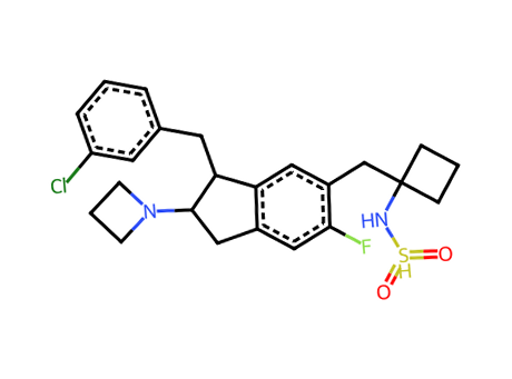 O=[SH](=O)NC1(Cc2cc3c(cc2F)CC(N2CCC2)C3Cc2cccc(Cl)c2)CCC1